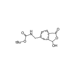 CC(C)(C)OC(=O)NCc1ccc2c(c1)C(O)OC2=O